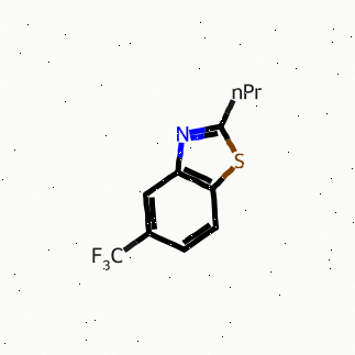 CCCc1nc2cc(C(F)(F)F)ccc2s1